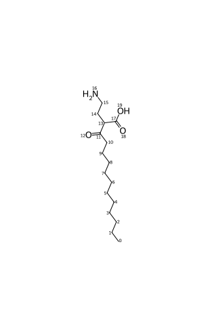 CCCCCCCCCCCC(=O)C(CCN)C(=O)O